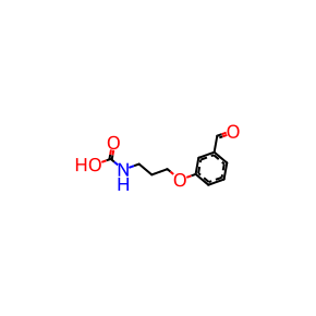 O=Cc1cccc(OCCCNC(=O)O)c1